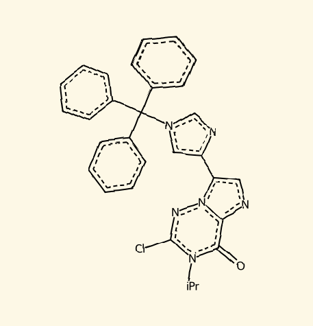 CC(C)n1c(Cl)nn2c(-c3cn(C(c4ccccc4)(c4ccccc4)c4ccccc4)cn3)cnc2c1=O